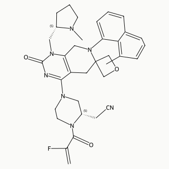 C=C(F)C(=O)N1CCN(c2nc(=O)n(C[C@@H]3CCCN3C)c3c2CC2(COC2)N(c2cccc4cccc(C)c24)C3)C[C@@H]1CC#N